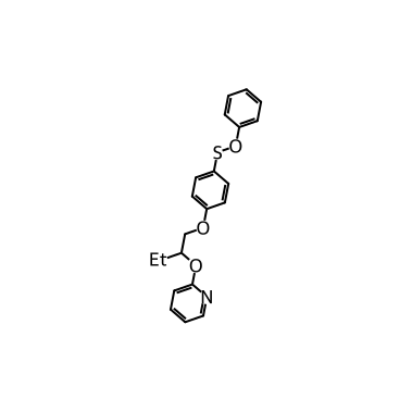 CCC(COc1ccc(SOc2ccccc2)cc1)Oc1ccccn1